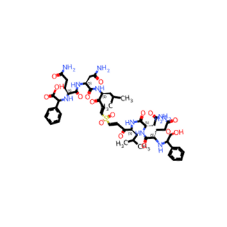 CC(C)C[C@H](NC(=O)[C@H](CC(N)=O)NC(=O)[C@H](CCC(N)=O)NC(C(=O)O)c1ccccc1)C(=O)C=CS(=O)(=O)C=CC(=O)[C@H](CC(C)C)NC(=O)[C@H](CC(N)=O)NC(=O)[C@H](CCC(N)=O)NC(C(=O)O)c1ccccc1